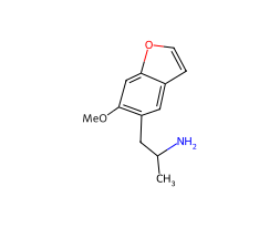 COc1cc2occc2cc1CC(C)N